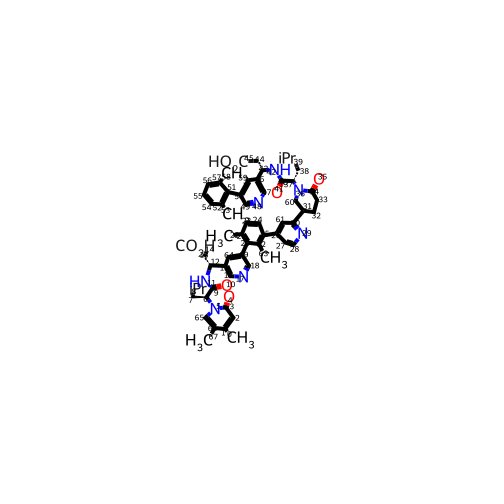 Cc1cc(=O)n([C@@H](CC(C)C)C(=O)N[C@H](CC(=O)O)c2cncc(-c3c(C)ccc(-c4ccnc(C5CCC(=O)N([C@@H](CC(C)C)C(=O)N[C@@H](CC(=O)O)c6cncc(-c7c(C)cccc7C)c6)C5)c4)c3C)c2)cc1C